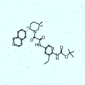 CCc1cc(NC(=O)C(=O)N2C[C@H](C)CC[C@H]2c2ccc3cnccc3c2)cnc1NC(=O)OC(C)(C)C